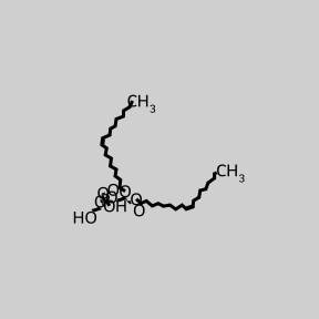 CCCCCCCC/C=C\CCCCCCCC(=O)OC[C@H](COP(=O)(O)OCCO)OC(=O)CCCCCCC/C=C\CCCCCCCC